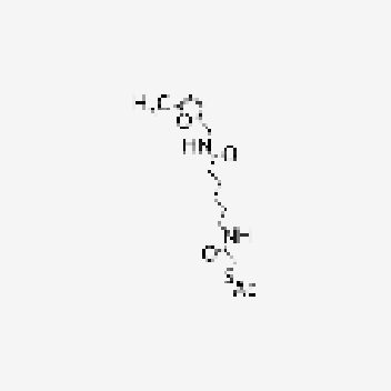 CC(=O)SCC(=O)NCCCCCC(=O)NCc1ccc(C)o1